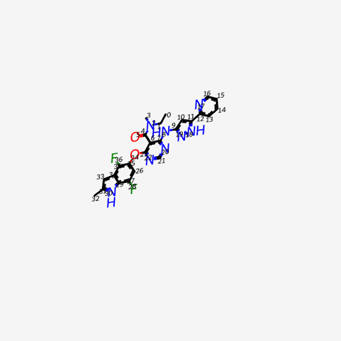 CCN(C)C(=O)c1c(Nc2cc(-c3ccccn3)[nH]n2)ncnc1Oc1cc(F)c2[nH]c(C)cc2c1F